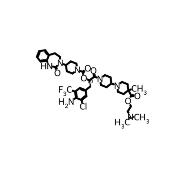 CN(C)CCOC(=O)C1(C)CCN(C2CCN(C(=O)[C@@H](Cc3cc(Cl)c(N)c(C(F)(F)F)c3)OC(=O)N3CCC(N4CCc5ccccc5NC4=O)CC3)CC2)CC1